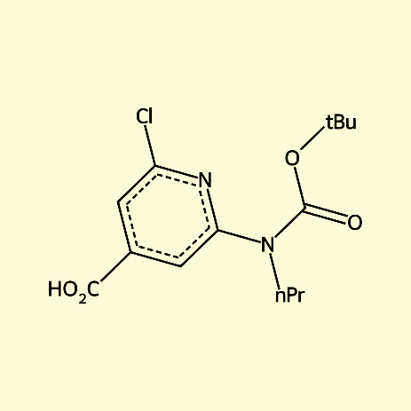 CCCN(C(=O)OC(C)(C)C)c1cc(C(=O)O)cc(Cl)n1